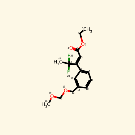 CCOC(=O)C=C(c1cccc(COCOC)c1)C(C)(F)F